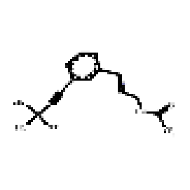 CCCC(O)(C#Cc1cccc(/C=C/CNC(=O)C(F)(F)F)c1)CCC